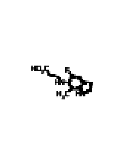 Cc1c(NCCC(=O)O)c(F)cc2cc[nH]c12